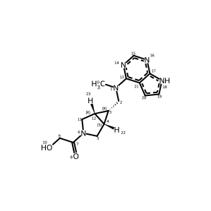 CN(C[C@@H]1[C@@H]2CN(C(=O)CO)C[C@@H]21)c1ncnc2[nH]ccc12